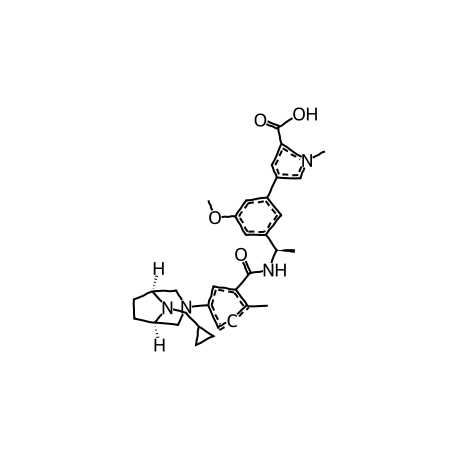 COc1cc(-c2cc(C(=O)O)n(C)c2)cc([C@@H](C)NC(=O)c2cc(N3C[C@H]4CC[C@@H](C3)N4CC3CC3)ccc2C)c1